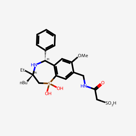 CCCC[C@]1(CC)CS(O)(O)c2cc(CNC(=O)CS(=O)(=O)O)c(OC)cc2[C@@H](c2ccccc2)N1